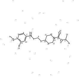 CSc1ccc(NCCCC2CCN(C(=O)OC(C)C)CC2)cc1F